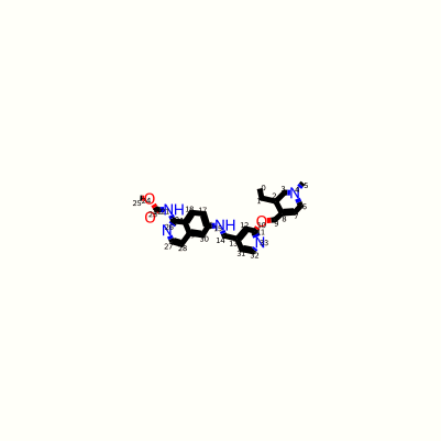 CCC1CN(C)CC=C1COc1cc(CNc2ccc3c(NC(=O)OC)nccc3c2)ccn1